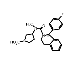 CN(C(=O)N1CCc2ccccc2[C@@H]1c1ccc(F)cc1)C1CCN(C(=O)O)C1